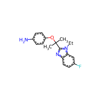 CCn1c(C(C)(C)Oc2ccc(N)cc2)nc2ccc(F)cc21